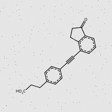 O=C(O)CCc1ccc(C#Cc2cccc3c2CCC3=O)cc1